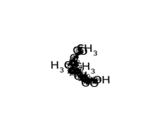 Cc1cc(OCCCS(C)(=O)=O)cc(C)c1-c1cccc2c1CC[C@@H]2Oc1cc2c(cn1)C(CC(=O)O)CO2